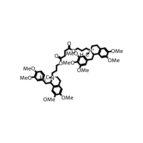 COc1ccc(CC2c3cc(OC)c(OC)cc3CC[N+]2(C)CCCOC(=O)CCC(=O)OCCC[N+]2(C)CCc3cc(OC)c(OC)cc3C2Cc2cc(OC)c(OC)c(OC)c2)cc1OC